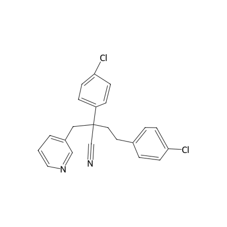 N#CC(CCc1ccc(Cl)cc1)(Cc1cccnc1)c1ccc(Cl)cc1